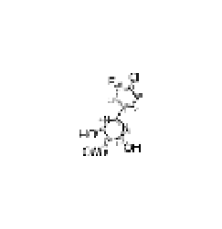 COc1c(O)nc(-c2ccc(Cl)c(F)c2)nc1O